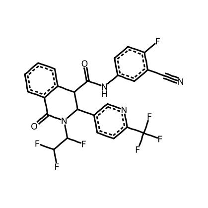 N#Cc1cc(NC(=O)C2c3ccccc3C(=O)N(C(F)C(F)F)C2c2ccc(C(F)(F)F)nc2)ccc1F